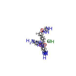 Cc1cc(C(=O)NC2CCNCC2)cc(-c2ccc(C[C@H](NC(=O)[C@H]3CC[C@H](CN)CC3)C(=O)Nc3ccc(-c4nn[nH]n4)cc3)cc2)c1.Cl